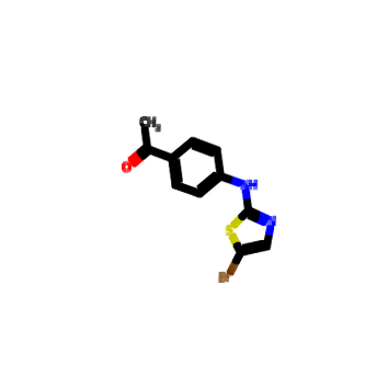 CC(=O)c1ccc(Nc2ncc(Br)s2)cc1